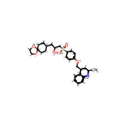 Cc1cc(COc2ccc(S(=O)(=O)CC(O)CC3CCC4(CC3)OCCO4)cc2)c2ccccc2n1